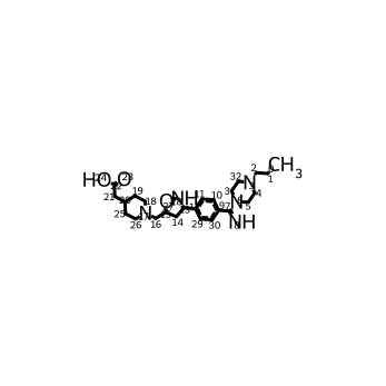 CCCN1CCN(C(=N)c2ccc(C3CC(CN4CCC(CC(=O)O)CC4)ON3)cc2)CC1